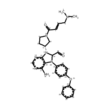 CN(C)C/C=C/C(=O)N1CC[C@@H](N2c3ncnc(N)c3N(c3ccc(Oc4ccccc4)cc3)C2C=O)C1